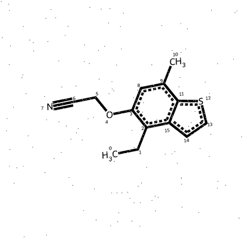 CCc1c(OCC#N)cc(C)c2sccc12